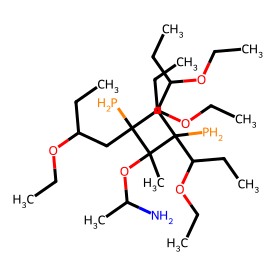 CCOC(CC)CC(P)(C(CC)OCC)C(C)(OC(C)N)C(P)(CC(CC)OCC)C(CC)OCC